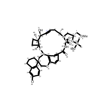 COC[C@@H](CN1[C@@H](C)C/C=C/[C@H](O)[C@@H]2CC[C@H]2CN2C[C@@]3(CCCc4cc(Cl)ccc43)COc3ccc(cc32)C(=O)NS1(=O)=O)O[Si](C)(C)C(C)(C)C